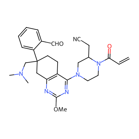 C=CC(=O)N1CCN(c2nc(OC)nc3c2CCC(CN(C)C)(c2ccccc2C=O)C3)CC1CC#N